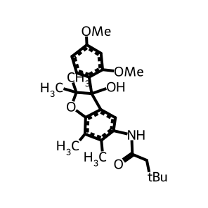 COc1ccc(C2(O)c3cc(NC(=O)CC(C)(C)C)c(C)c(C)c3OC2(C)C)c(OC)c1